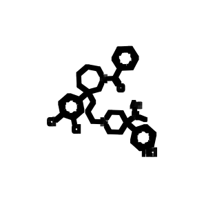 CC(=O)N(C)C1(c2ccccc2)CCN(CCCC2(c3ccc(Cl)c(Cl)c3)CCCCN(C(=O)c3ccccc3)C2)CC1.Cl